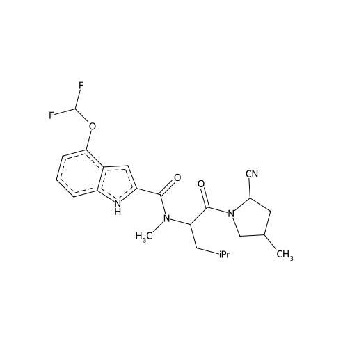 CC(C)CC(C(=O)N1CC(C)CC1C#N)N(C)C(=O)c1cc2c(OC(F)F)cccc2[nH]1